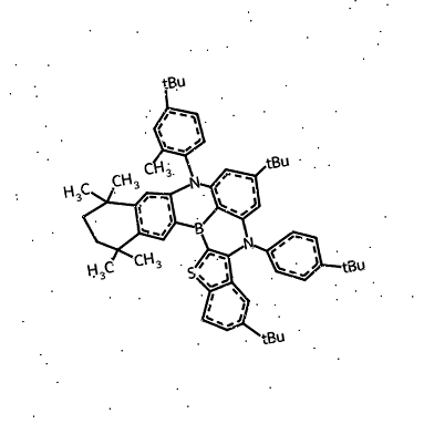 Cc1cc(C(C)(C)C)ccc1N1c2cc3c(cc2B2c4sc5ccc(C(C)(C)C)cc5c4N(c4ccc(C(C)(C)C)cc4)c4cc(C(C)(C)C)cc1c42)C(C)(C)CCC3(C)C